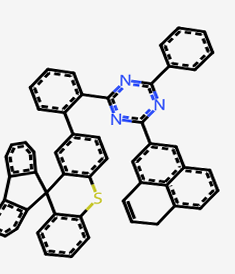 C1=Cc2cc(-c3nc(-c4ccccc4)nc(-c4ccccc4-c4ccc5c(c4)C4(c6ccccc6S5)c5ccccc5-c5ccccc54)n3)cc3cccc(c23)C1